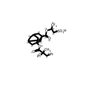 CC(C)CC(C)(C(=O)OC12CC3CC(C1)CC(C(=O)OC(CS(=O)(=O)O)C(F)(F)F)(C3)C2)C(C)C